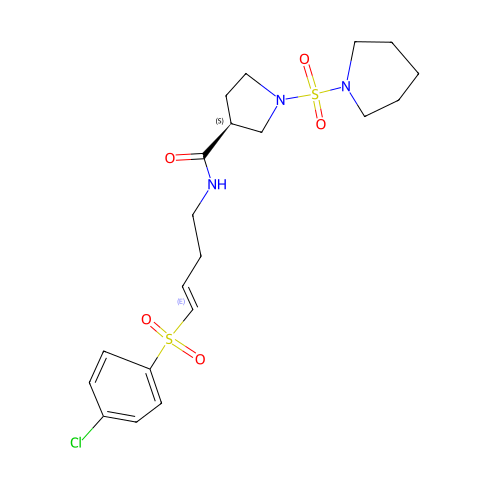 O=C(NCC/C=C/S(=O)(=O)c1ccc(Cl)cc1)[C@H]1CCN(S(=O)(=O)N2CCCCC2)C1